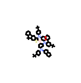 CC(C)(C)c1ccc(N(c2ccc3c(c2)N(c2ccc(C(C)(C)C)cc2-c2ccccc2)c2cccc4c2B3c2sc3cc5c(cc3c2N4c2ccc(C(C)(C)C)cc2)-c2ccccc2C5(C)C)c2ccc3ccccc3c2)cc1